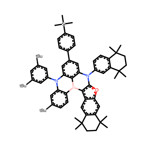 CC(C)(C)c1cc(N2c3cc(C(C)(C)C)ccc3B3c4c2cc(-c2ccc([Si](C)(C)C)cc2)cc4N(c2ccc4c(c2)C(C)(C)CCC4(C)C)c2oc4cc5c(cc4c23)C(C)(C)CCC5(C)C)cc(C(C)(C)C)c1